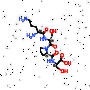 NCCC[C@H](N)C(=O)N[C@H](CO)C(=O)N1CCC[C@H]1C(=O)N[C@@H](CO)C(=O)O